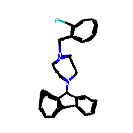 Fc1ccccc1CN1CCN(C2c3ccccc3-c3ccccc32)CC1